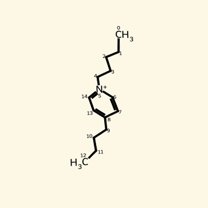 CCCCC[n+]1ccc(CCCC)cc1